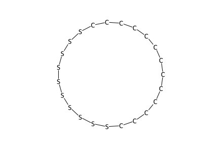 C1CCCCCCSSSSSSSSSSCCCCCC1